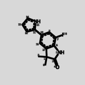 CC1(C)C(=O)Nc2c(F)cc(-c3ccc[nH]3)cc21